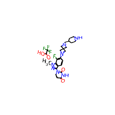 Cn1nc(N2CCC(=O)NC2=O)c2ccc(N3CC4(CN(CC5CCNCC5)C4)C3)c(F)c21.O=C(O)C(F)(F)F